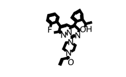 C=CC(=O)N1CCN(C2=NC(O)C(c3ccccc3C(C)C)=C3C=C(c4ccccc4F)C(C)=NN23)CC1